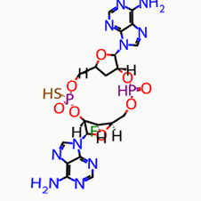 Nc1ncnc2c1ncn2[C@@H]1O[C@@H]2CO[PH](=O)O[C@@H]3C[C@@H](CO[P@@](=O)(S)O[C@@H]1[C@@H]2F)O[C@H]3n1cnc2c(N)ncnc21